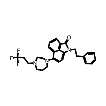 O=C1c2cccc3c(N4CCCN(CCC(F)(F)F)CC4)ccc(c23)N1CCc1ccccc1